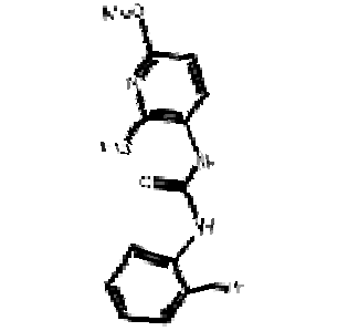 COc1ccc(NC(=O)Nc2ccccc2C(C)C)c(O)n1